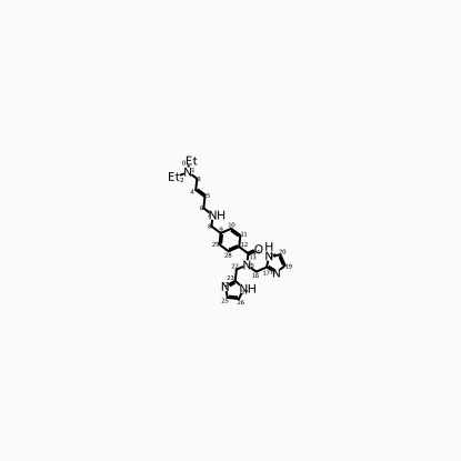 CCN(CC)CC=CCNCc1ccc(C(=O)N(Cc2ncc[nH]2)Cc2ncc[nH]2)cc1